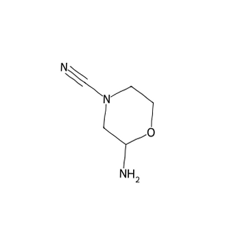 N#CN1CCOC(N)C1